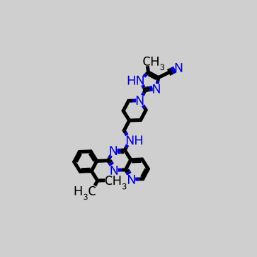 Cc1[nH]c(N2CCC(CNc3nc(-c4ccccc4C(C)C)nc4ncccc34)CC2)nc1C#N